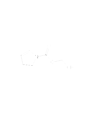 CCOC(=O)N1C=CCC1